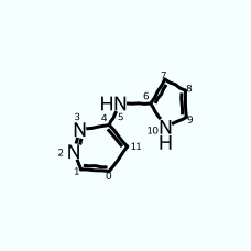 c1cnnc(Nc2ccc[nH]2)c1